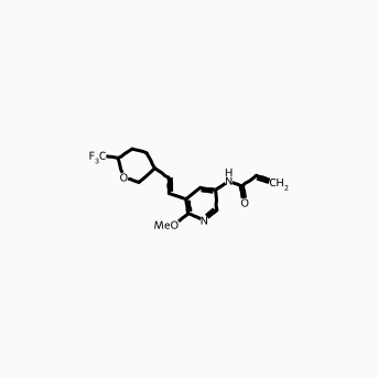 C=CC(=O)Nc1cnc(OC)c(C=CC2CCC(C(F)(F)F)OC2)c1